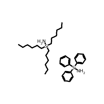 CCCCCC[Si](N)(CCCCCC)CCCCCC.N[Si](c1ccccc1)(c1ccccc1)c1ccccc1